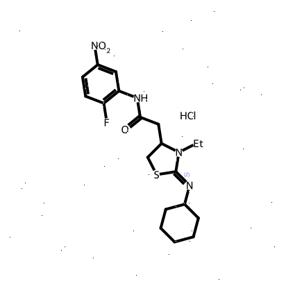 CCN1/C(=N/C2CCCCC2)SCC1CC(=O)Nc1cc([N+](=O)[O-])ccc1F.Cl